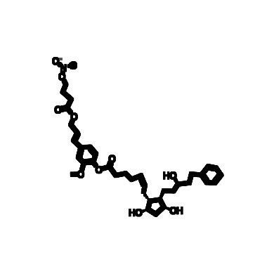 COc1cc(/C=C/COC(=O)CCCO[N+](=O)[O-])ccc1OC(=O)CCC/C=C\C[C@@H]1[C@@H](CC[C@@H](O)CCc2ccccc2)[C@H](O)C[C@@H]1O